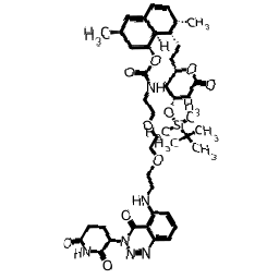 C[C@H]1C=C2C=C[C@H](C)[C@H](CC[C@@H]3C[C@@H](O[Si](C)(C)C(C)(C)C)CC(=O)O3)[C@H]2[C@@H](OC(=O)NCCOCCOCCNc2cccc3nnn(C4CCC(=O)NC4=O)c(=O)c23)C1